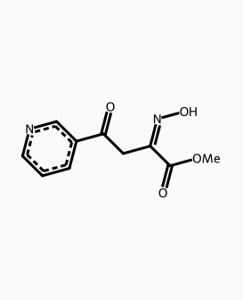 COC(=O)C(CC(=O)c1cccnc1)=NO